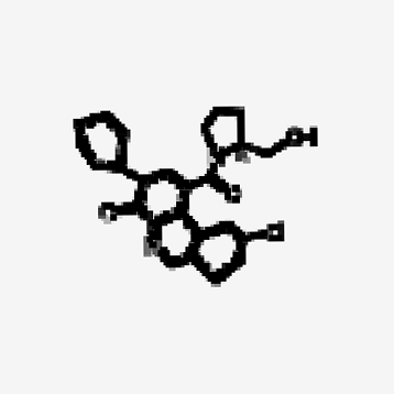 O=C(c1cc(-c2ccccc2)c(=O)n2ncc3ccc(Cl)cc3c12)N1CCC[C@H]1CO